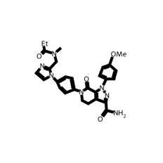 CCC(=O)N(C)Cc1nccn1-c1ccc(N2CCc3c(C(N)=O)nn(-c4ccc(OC)cc4)c3C2=O)cc1